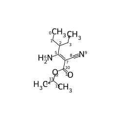 CCC(CC)/C(N)=C(\C#N)C(=O)OC(C)C